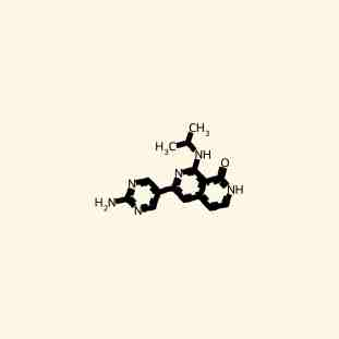 CC(C)Nc1nc(-c2cnc(N)nc2)cc2cc[nH]c(=O)c12